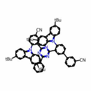 CC(C)(C)c1ccc2c(c1)c1cc(C(C)(C)C)ccc1n2-c1ccc(C#N)cc1-c1nc(-c2ccccc2)nc(-c2cc(-c3cccc(C#N)c3)ccc2-n2c3ccc(C(C)(C)C)cc3c3cc(C(C)(C)C)ccc32)n1